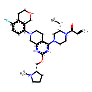 C=CC(=O)N1CCN(c2nc(OC[C@@H]3CCCN3C)nc3c2CCN(c2ccc(F)c4c2COCC4)C3)C[C@@H]1CC#N